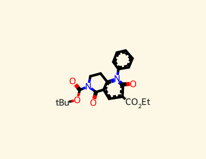 CCOC(=O)c1cc2c(n(-c3ccccc3)c1=O)CCN(C(=O)OC(C)(C)C)C2=O